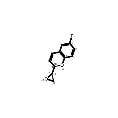 Fc1ccc2c(c1)C=C[C@H]([C@H]1CO1)O2